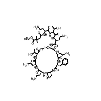 CCCCOC(=O)C(C)(C)CC(=O)N[C@@H](CCN)C(=O)N[C@H](C(=O)N[C@@H](CCN)C(=O)N[C@H]1CCNC(=O)[C@H]([C@H](C)O)NC(=O)[C@H](CCN)NC(=O)[C@H](CCN)NC(=O)[C@H](CC(C)C)NC(=O)[C@@H](Cc2ccccc2)NC(=O)[C@H](CCN)NC1=O)C(C)O